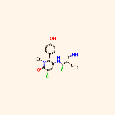 CCn1c(-c2ccc(O)cc2)c(N/C(Cl)=C(/C)C=N)cc(Cl)c1=O